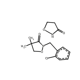 CC1(C)CON(Cc2ccccc2Cl)C1=O.O=C1CCON1